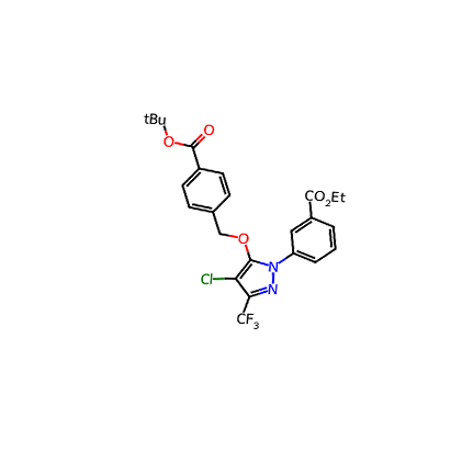 CCOC(=O)c1cccc(-n2nc(C(F)(F)F)c(Cl)c2OCc2ccc(C(=O)OC(C)(C)C)cc2)c1